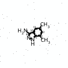 Cc1cc(C)c2[nH]nc(N)c2c1